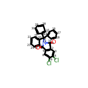 O=C1c2cc(Cl)c(Cl)cc2C(=O)N1C(c1ccccc1)(c1ccccc1)c1ccccc1